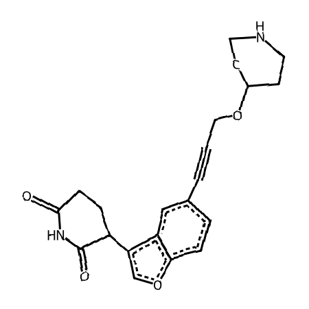 O=C1CCC(c2coc3ccc(C#CCOC4CCNCC4)cc23)C(=O)N1